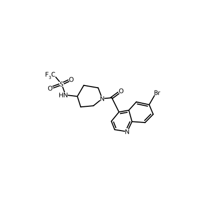 O=C(c1ccnc2ccc(Br)cc12)N1CCC(NS(=O)(=O)C(F)(F)F)CC1